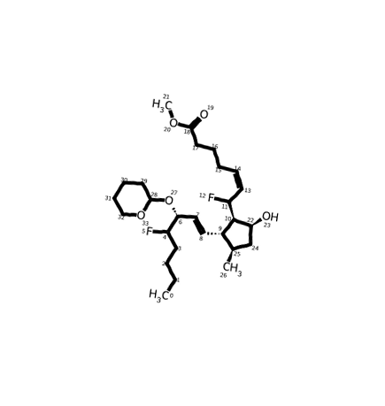 CCCCC(F)[C@@H](/C=C/[C@@H]1[C@@H](C(F)/C=C\CCCC(=O)OC)[C@@H](O)C[C@H]1C)OC1CCCCO1